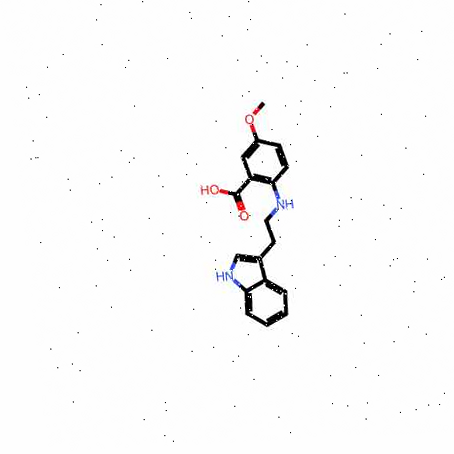 COc1ccc(NCCc2c[nH]c3ccccc23)c(C(=O)O)c1